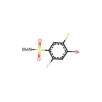 CNS(=O)(=O)c1cc(F)c(Br)cc1F